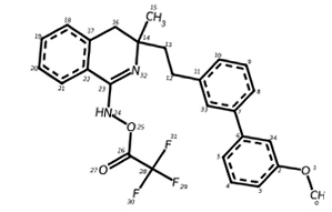 COc1cccc(-c2cccc(CCC3(C)Cc4ccccc4C(NOC(=O)C(F)(F)F)=N3)c2)c1